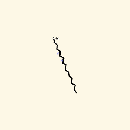 CCCCCCCCC/C=C/C=C/CCCO